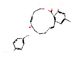 CCOc1cc(C)cc2c1C(=O)O[C@@H](C)C/C=C\C(=O)[C@@H](OCc1ccc(OC)cc1)CC/C=C/2